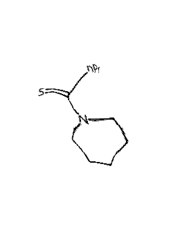 CCCC(=S)N1CCCCC1